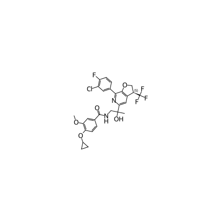 COc1cc(C(=O)NCC(C)(O)c2cc3c(c(-c4ccc(F)c(Cl)c4)n2)OC[C@H]3C(F)(F)F)ccc1OC1CC1